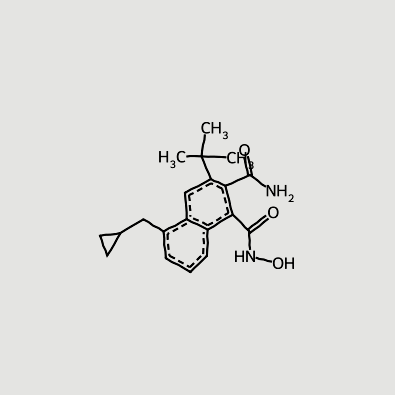 CC(C)(C)c1cc2c(CC3CC3)cccc2c(C(=O)NO)c1C(N)=O